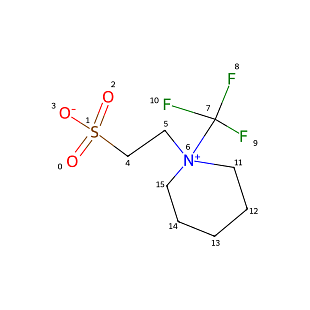 O=S(=O)([O-])CC[N+]1(C(F)(F)F)CCCCC1